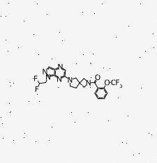 O=C(c1ccccc1OC(F)(F)F)N1CC2(CCN(c3cnc4cnn(CC(F)F)c4n3)C2)C1